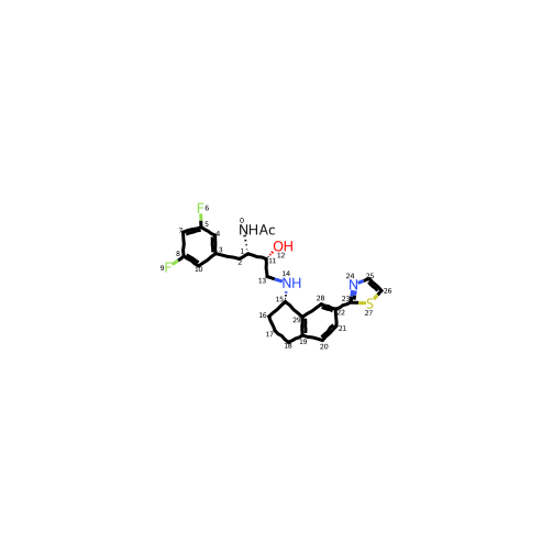 CC(=O)N[C@@H](Cc1cc(F)cc(F)c1)[C@H](O)CN[C@H]1CCCc2ccc(-c3nccs3)cc21